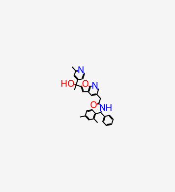 Cc1ccc(C(NC(=O)Cc2cnc3oc(C(C)(O)c4ccnc(C)c4)cc3c2)c2ccccc2)c(C)c1